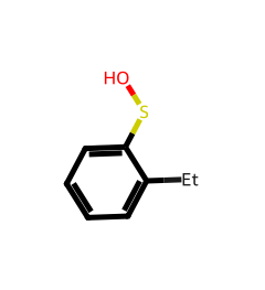 CCc1ccccc1SO